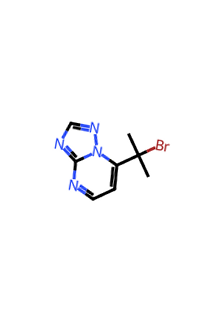 CC(C)(Br)c1ccnc2ncnn12